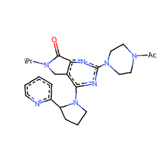 CC(=O)N1CCN(c2nc3c(c(N4CCCC4c4ccccn4)n2)CN(C(C)C)C3=O)CC1